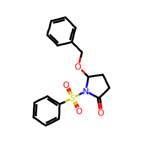 O=C1CCC(OCc2ccccc2)N1S(=O)(=O)c1ccccc1